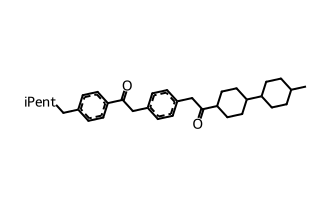 CCCC(C)Cc1ccc(C(=O)Cc2ccc(CC(=O)C3CCC(C4CCC(C)CC4)CC3)cc2)cc1